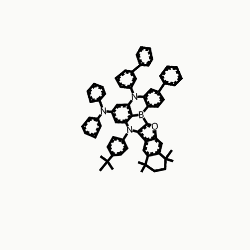 CC(C)(C)c1ccc(N2c3cc(N(c4ccccc4)c4ccccc4)cc4c3B(c3ccc(-c5ccccc5)cc3N4c3cccc(-c4ccccc4)c3)c3oc4cc5c(cc4c32)C(C)(C)CCC5(C)C)cc1